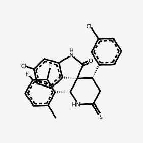 Cc1ccc(F)c(F)c1[C@H]1NC(=S)C[C@@H](c2cccc(Cl)c2)[C@]12C(=O)Nc1cc(Cl)ccc12